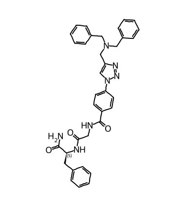 NC(=O)[C@H](Cc1ccccc1)NC(=O)CNC(=O)c1ccc(-n2cc(CN(Cc3ccccc3)Cc3ccccc3)nn2)cc1